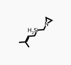 CC(C)=CC[SiH2]CN1CC1